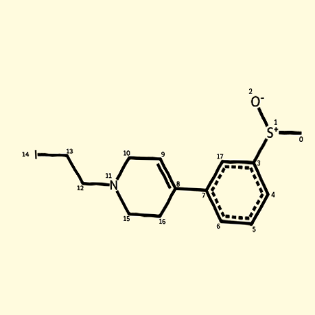 C[S+]([O-])c1cccc(C2=CCN(CCI)CC2)c1